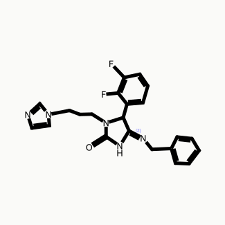 O=C1N/C(=N\Cc2ccccc2)C(c2cccc(F)c2F)N1CCCn1ccnc1